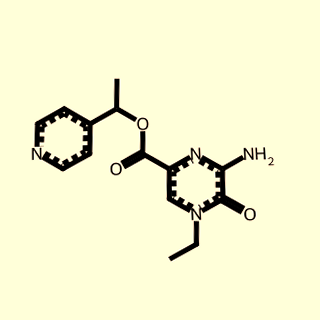 CCn1cc(C(=O)OC(C)c2ccncc2)nc(N)c1=O